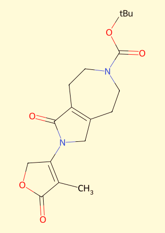 CC1=C(N2CC3=C(CCN(C(=O)OC(C)(C)C)CC3)C2=O)COC1=O